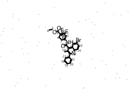 CCOC(=O)C12CCC(NC(=O)c3c(C)c(-c4ccccc4)nc4ccc(Br)cc34)(CC1)CC2(F)F